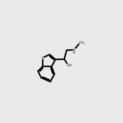 CNCC(O)c1csc2ccccc12